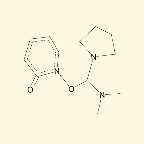 CN(C)C(On1ccccc1=O)N1CCCC1